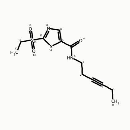 CCC#CCCNC(=O)c1cnc(S(=O)(=O)CC)s1